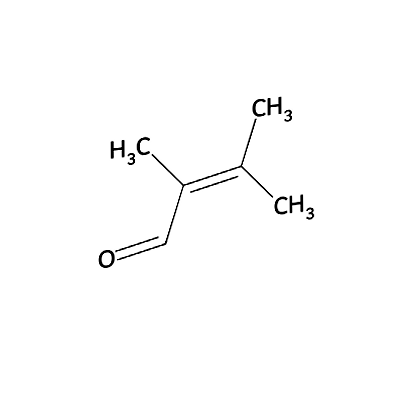 CC(C)=C(C)C=O